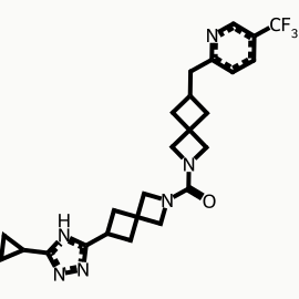 O=C(N1CC2(CC(Cc3ccc(C(F)(F)F)cn3)C2)C1)N1CC2(CC(c3nnc(C4CC4)[nH]3)C2)C1